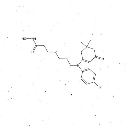 CC1(C)CC(=O)c2c(n(CCCCCCC(=O)NO)c3ccc(Br)cc23)C1